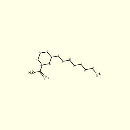 C=C(C)N1CCCC(CCCCCCCC)C1